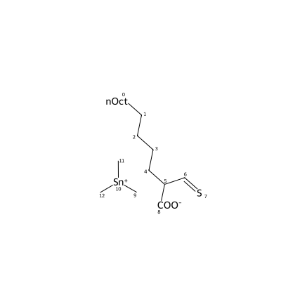 CCCCCCCCCCCCC(C=S)C(=O)[O-].[CH3][Sn+]([CH3])[CH3]